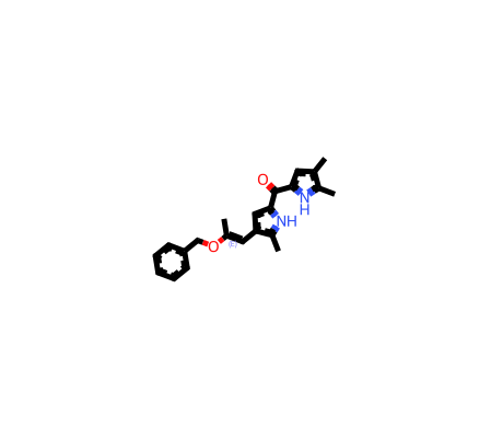 C/C(=C\c1cc(C(=O)c2cc(C)c(C)[nH]2)[nH]c1C)OCc1ccccc1